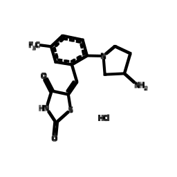 Cl.NC1CCN(c2ccc(C(F)(F)F)cc2/C=C2/SC(=O)NC2=O)C1